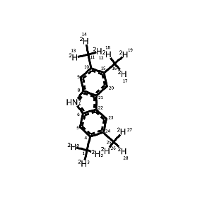 [2H]C([2H])([2H])c1cc2[nH]c3cc(C([2H])([2H])[2H])c(C([2H])([2H])[2H])cc3c2cc1C([2H])([2H])[2H]